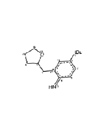 CC(C)(C)c1ccc(=N)n(CC2CCCO2)c1